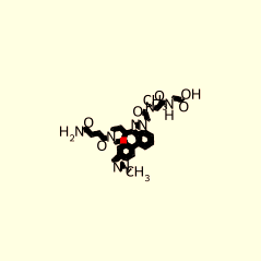 CN(CC(=O)NCC(=O)O)C(=O)Cn1nc(C2CCN(C(=O)CCC(N)=O)CC2)c2c(-c3cc4c(cnn4C)cc3F)cccc21